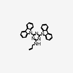 C=CCNc1nc(-n2c3ccccc3c3ccccc32)nc(-n2c3ccccc3c3ccccc32)n1